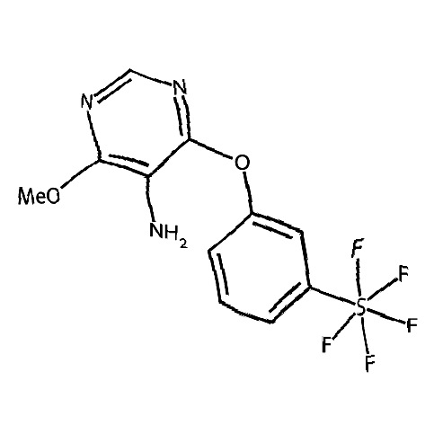 COc1ncnc(Oc2cccc(S(F)(F)(F)(F)F)c2)c1N